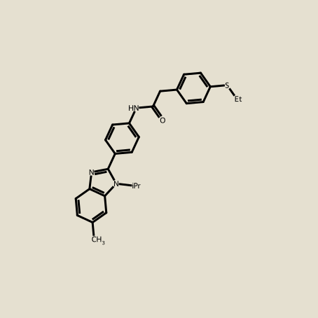 CCSc1ccc(CC(=O)Nc2ccc(-c3nc4ccc(C)cc4n3C(C)C)cc2)cc1